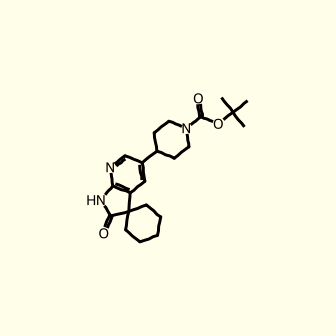 CC(C)(C)OC(=O)N1CCC(c2cnc3c(c2)C2(CCCCC2)C(=O)N3)CC1